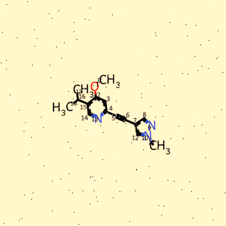 COc1cc(C#Cc2cnn(C)c2)ncc1C(C)C